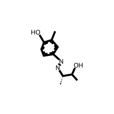 Cc1cc(N=N[C@@H](C)C(C)O)ccc1O